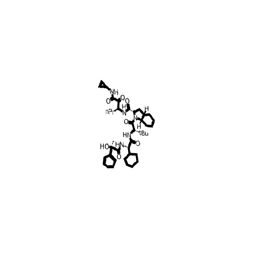 CCC[C@H](NC(=O)[C@@H]1C[C@@H]2CCCC[C@@H]2N1C(=O)[C@@H](NC(=O)[C@@H](NC(=O)[C@](C)(O)c1ccccc1)C1CCCCC1)C(C)(C)C)C(=O)C(=O)NC1CC1